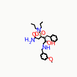 CCCN(CCC)S(=O)(=O)C(CC(N)=O)[C@@H](Cc1ccccc1)[C@@H](O)CNCc1cccc(OC)c1